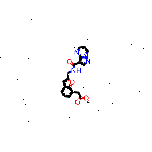 COC(=O)Cc1cccc2cc(CNC(=O)c3cnn4cccnc34)oc12